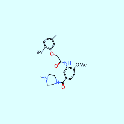 COc1ccc(C(=O)N2CCN(C)CC2)cc1NC(=O)COc1cc(C)ccc1C(C)C